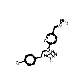 C#N.C#N.NN=Cc1ccc(OCCc2ccc(Cl)cc2)nc1